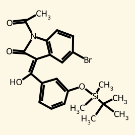 CC(=O)N1C(=O)/C(=C(\O)c2cccc(O[Si](C)(C)C(C)(C)C)c2)c2cc(Br)ccc21